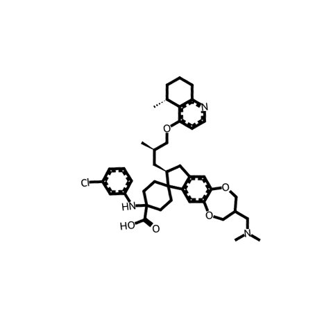 C[C@@H](COc1ccnc2c1[C@H](C)CCC2)C[C@H]1Cc2cc3c(cc2C12CCC(Nc1cccc(Cl)c1)(C(=O)O)CC2)OCC(CN(C)C)CO3